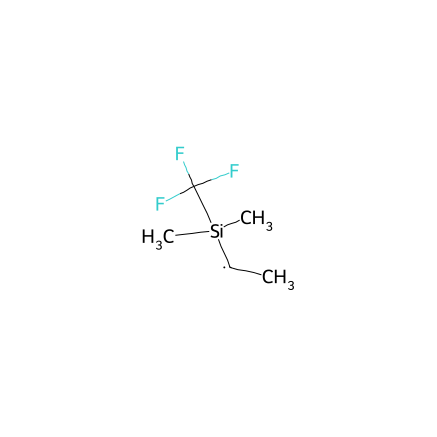 C[CH][Si](C)(C)C(F)(F)F